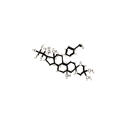 CC1(C)COC2(CCC3=C4C(CC[C@@]3(O)C2)C2CC[C@@](O)(C(F)(F)C(F)(F)F)C2(C)C[C@@H]4c2ccc(C=O)cc2)OC1